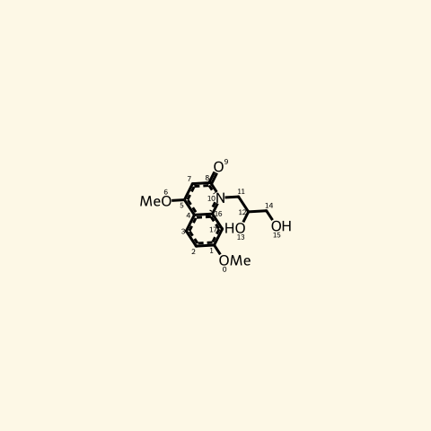 COc1ccc2c(OC)cc(=O)n(CC(O)CO)c2c1